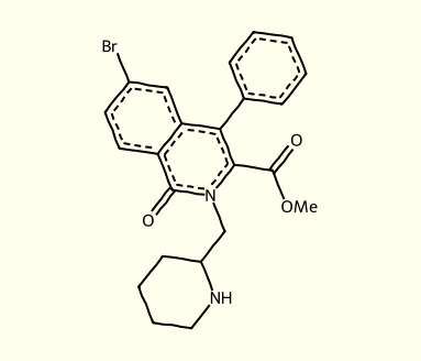 COC(=O)c1c(-c2ccccc2)c2cc(Br)ccc2c(=O)n1CC1CCCCN1